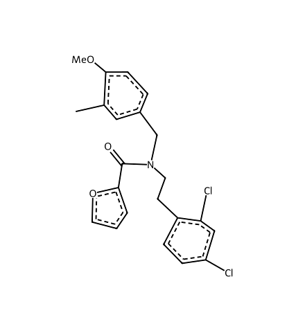 COc1ccc(CN(CCc2ccc(Cl)cc2Cl)C(=O)c2ccco2)cc1C